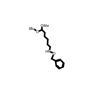 COC(CCCCCNOCc1ccccc1)OC(C)(C)C